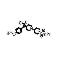 CCCS(=O)(=O)N1CCC(N2CCC3(CC2)C(c2ccc(OC(C)C)cc2)C3(Cl)Cl)CC1